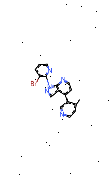 Cc1ccncc1-c1ccnc2c1cnn2-c1ncccc1Br